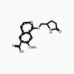 COc1cc2c(OCC3CCC(=O)N3)nccc2cc1C(=O)S